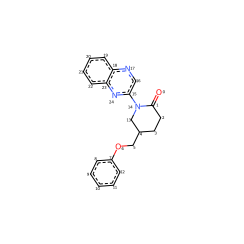 O=C1CCC(COc2ccccc2)CN1c1cnc2ccccc2n1